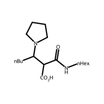 CCCCCCNC(=O)C(C(=O)O)C(CCCC)N1CCCC1